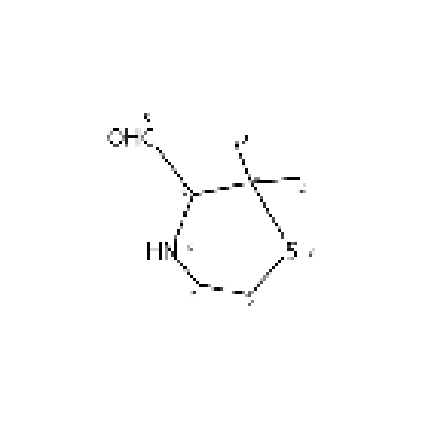 CC1(C)SCCNC1C=O